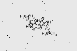 CN(C)CCc1c[nH]c2c1C(=O)C(c1ccc3[nH]cc(CCN(C)C)c3c1O)=CC2=O